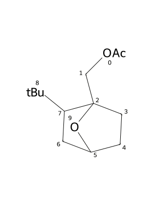 CC(=O)OCC12CCC(CC1C(C)(C)C)O2